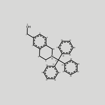 OCc1ccc2c(c1)CCN(C(c1ccccc1)(c1ccccc1)c1ccccc1)C2